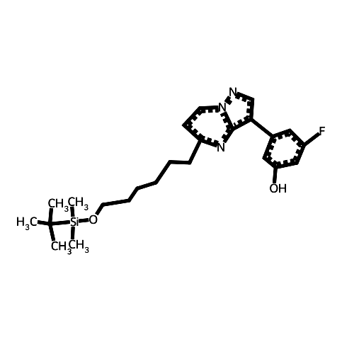 CC(C)(C)[Si](C)(C)OCCCCCCc1ccn2ncc(-c3cc(O)cc(F)c3)c2n1